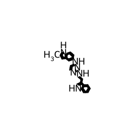 Cc1cc2cc(Nc3ccnc(NCCc4c[nH]c5ccccc45)n3)ccc2[nH]1